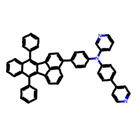 c1ccc(-c2c3c(c(-c4ccccc4)c4ccccc24)-c2ccc(-c4ccc(N(c5ccc(-c6ccncc6)cc5)c5cccnc5)cc4)c4cccc-3c24)cc1